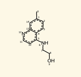 Cc1ccc2c(NCCO)ccnc2c1